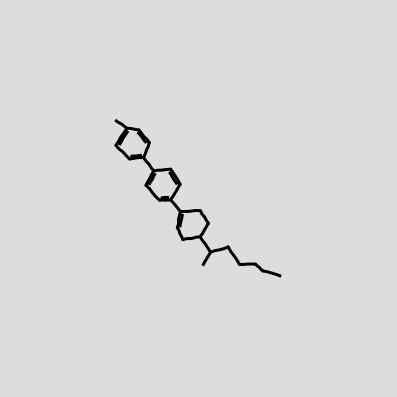 CCCCCC(C)C1CC=C(c2ccc(-c3ccc(C)cc3)cc2)CC1